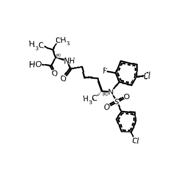 CC(C)[C@@H](NC(=O)CCC[C@@H](C)N(c1cc(Cl)ccc1F)S(=O)(=O)c1ccc(Cl)cc1)C(=O)O